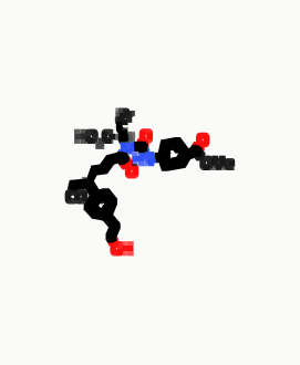 COC(=O)c1ccc(NC(=O)N(C(=O)CCC[C@H](CC(=O)O)c2ccc(CCO)cc2)[C@@H](CC(C)C)C(=O)O)cc1